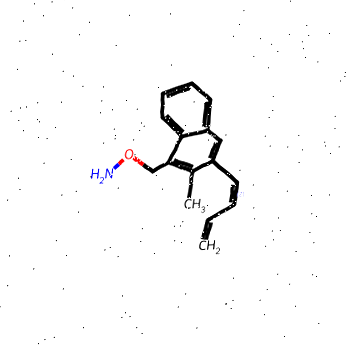 C=C/C=C\c1cc2ccccc2c(CON)c1C